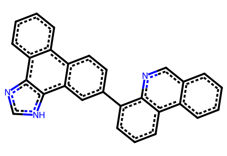 c1ccc2c(c1)cnc1c(-c3ccc4c5ccccc5c5nc[nH]c5c4c3)cccc12